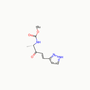 C[C@H](NC(=O)OC(C)(C)C)C(=O)/C=C/c1cc[nH]n1